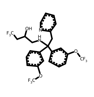 OC(CNC(Cc1ccccn1)(c1cccc(OC(F)(F)F)c1)c1cccc(OC(F)(F)F)c1)CC(F)(F)F